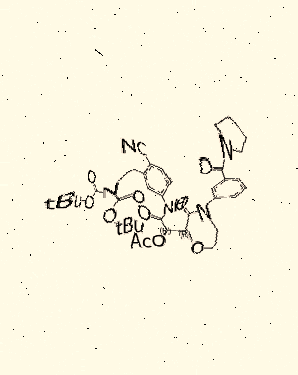 CC(=O)O[C@@H](C(=O)Nc1ccc(C#N)c(CN(C(=O)OC(C)(C)C)C(=O)OC(C)(C)C)c1)[C@H]1OCCN(c2cccc(C(=O)N3CCCC3)c2)C1=O